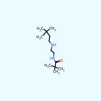 CC(C)(C)CCNCCNC(=O)C(C)(C)C